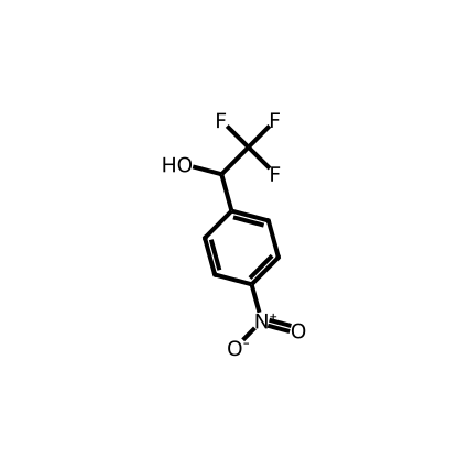 O=[N+]([O-])c1ccc(C(O)C(F)(F)F)cc1